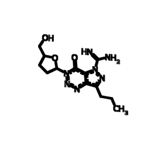 CCCc1nn(C(=N)N)c2c(=O)n(C3CCC(CO)O3)nnc12